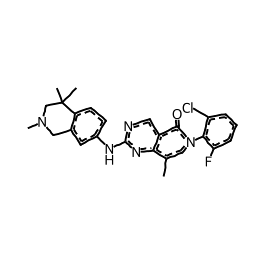 Cc1cn(-c2c(F)cccc2Cl)c(=O)c2cnc(Nc3ccc4c(c3)CN(C)CC4(C)C)nc12